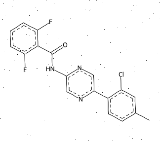 Cc1ccc(-c2cnc(NC(=O)c3c(F)cccc3F)cn2)c(Cl)c1